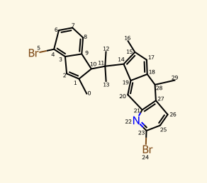 CC1=Cc2c(Br)cccc2C1C(C)(C)C1=C(C)C=C2C1=Cc1nc(Br)ccc1C2C